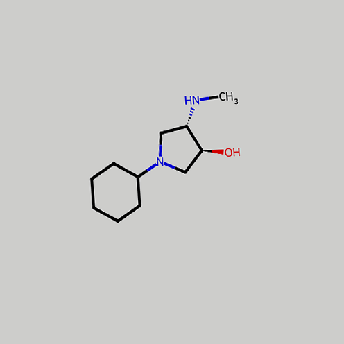 CN[C@H]1CN(C2CCCCC2)C[C@@H]1O